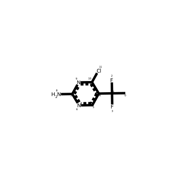 CC(F)(F)c1cnc(N)nc1Cl